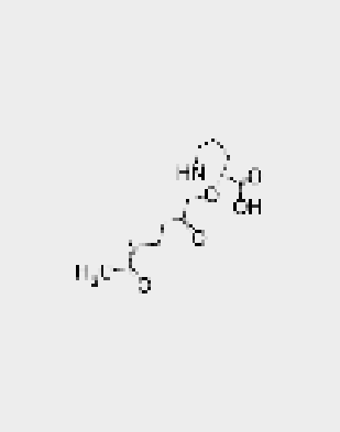 CC(=O)SCCC(=O)CO[C@@]1(C(=O)O)CCCN1